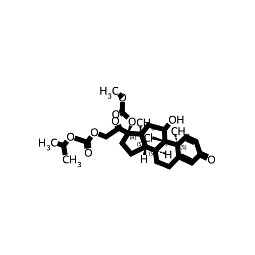 COC(=O)O[C@]1(C(=O)COC(=O)OC(C)C)CC[C@H]2[C@@H]3CCC4=CC(=O)C=C[C@]4(C)[C@@]3(Cl)C(O)C[C@@]21C